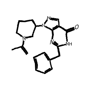 C=C(C)N1CCCC(n2ncc3c(=O)[nH]c(Cc4ccccc4)nc32)C1